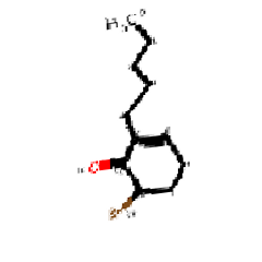 CCCCCC1=CCCC(Br)C1=O